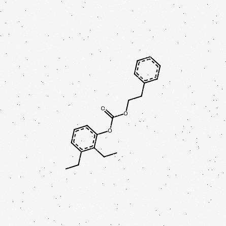 CCc1cccc(OC(=O)OCCc2ccccc2)c1CC